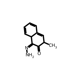 CC1C=C2C=CC=CC2/C(=N/N)C1=O